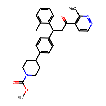 COc1nnccc1C(=O)CC(c1ccc(C2CCN(C(=O)OC(C)(C)C)CC2)cc1)c1ccccc1C